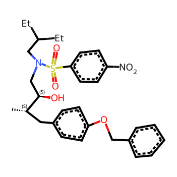 CCC(CC)CN(C[C@@H](O)[C@@H](C)Cc1ccc(OCc2ccccc2)cc1)S(=O)(=O)c1ccc([N+](=O)[O-])cc1